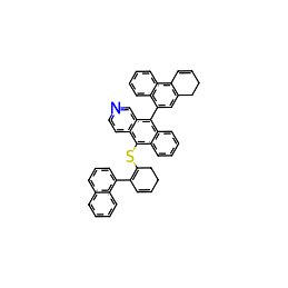 C1=CC(c2cccc3ccccc23)=C(Sc2c3ccccc3c(-c3cc4c(c5ccccc35)C=CCC4)c3cnccc23)CC1